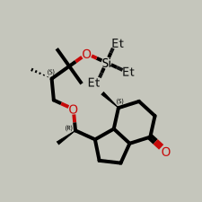 CC[Si](CC)(CC)OC(C)(C)[C@@H](C)CO[C@H](C)C1CCC2C(=O)CC[C@H](C)C21